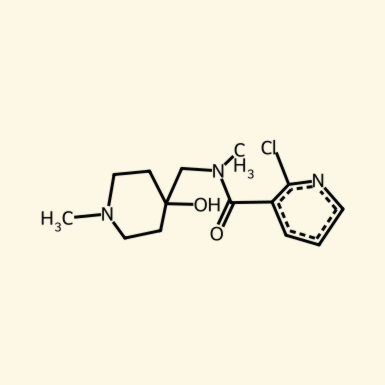 CN1CCC(O)(CN(C)C(=O)c2cccnc2Cl)CC1